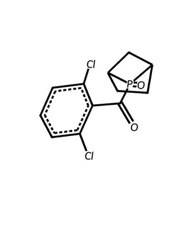 O=C(c1c(Cl)cccc1Cl)P1(=O)C2CCC1C2